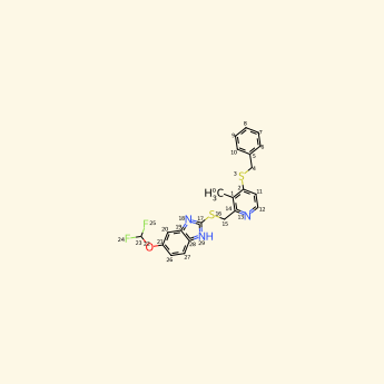 Cc1c(SCc2ccccc2)ccnc1CSc1nc2cc(OC(F)F)ccc2[nH]1